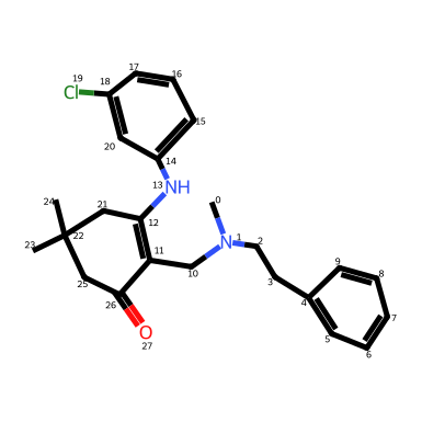 CN(CCc1ccccc1)CC1=C(Nc2cccc(Cl)c2)CC(C)(C)CC1=O